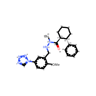 COc1ccc(-n2cnnn2)cc1CNN(C(=O)[C@H]1CCCC[C@@H]1c1ccccc1)C(C)(C)C